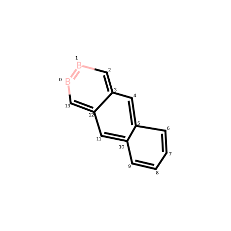 b1bcc2cc3ccccc3cc2c1